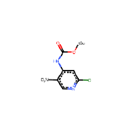 CC(C)(C)OC(=O)Nc1cc(Cl)ncc1[N+](=O)[O-]